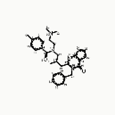 Cc1ccc(C(=O)N(CCN(C)C)CC(C)Cc2nc3sccc3c(=O)n2Cc2ccccc2)cc1